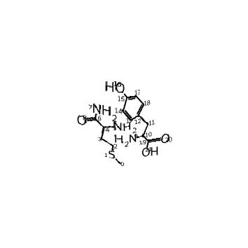 CSCCC(N)C(N)=O.N[C@@H](Cc1ccc(O)cc1)C(=O)O